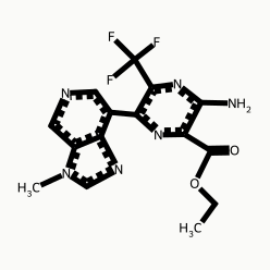 CCOC(=O)c1nc(-c2cncc3c2ncn3C)c(C(F)(F)F)nc1N